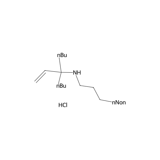 C=CC(CCCC)(CCCC)NCCCCCCCCCCCC.Cl